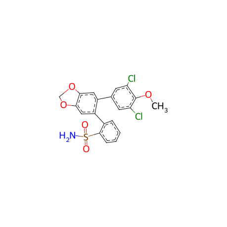 COc1c(Cl)cc(-c2cc3c(cc2-c2ccccc2S(N)(=O)=O)OCO3)cc1Cl